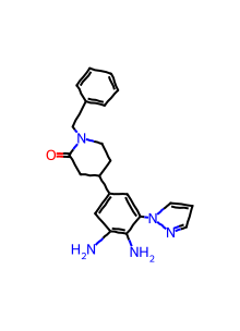 Nc1cc(C2CCN(Cc3ccccc3)C(=O)C2)cc(-n2cccn2)c1N